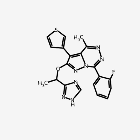 Cc1nnc(-c2ccccc2F)n2nc(OC(C)c3nc[nH]n3)c(-c3ccsc3)c12